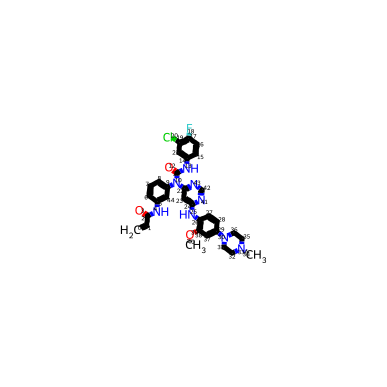 C=CC(=O)Nc1cccc(N(C(=O)Nc2ccc(F)c(Cl)c2)c2cc(Nc3ccc(N4CCN(C)CC4)cc3OC)ncn2)c1